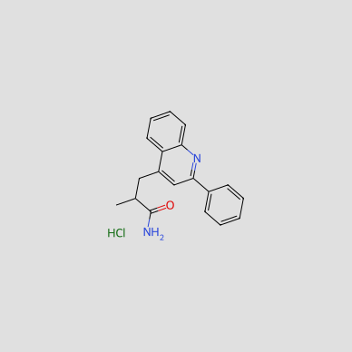 CC(Cc1cc(-c2ccccc2)nc2ccccc12)C(N)=O.Cl